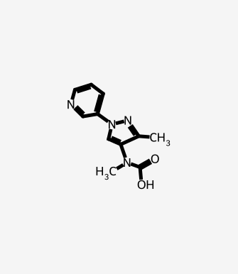 Cc1nn(-c2cccnc2)cc1N(C)C(=O)O